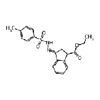 CCOC(=O)C1CC(=NNS(=O)(=O)c2ccc(C)cc2)c2ccccc21